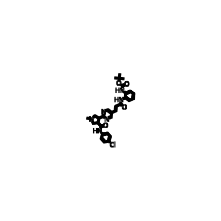 CN1CC(C(=O)Nc2ccc(Cl)cc2)C(c2ncc(/C=C/C(=O)Nc3ccccc3NC(=O)OC(C)(C)C)cn2)C1